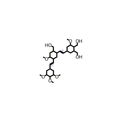 COC1CC(CO)C(/C=C/C2CC(CO)C(CO)C(OC)C2)CC1/C=C/C1CC(OC)C(OC)C(OC)C1